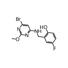 COc1nc(Br)cc(NCc2cc(F)ccc2O)n1